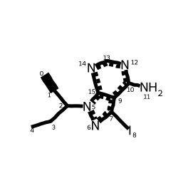 C#CC(CC)n1nc(I)c2c(N)ncnc21